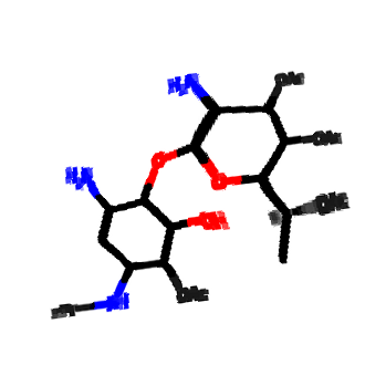 CCCNC1CC(N)C(OC2OC([C@@H](C)OC(C)=O)C(OC(C)=O)C(OC(C)=O)C2N)C(O)C1OC(C)=O